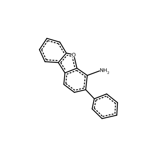 Nc1c(-c2ccccc2)ccc2c1oc1ccccc12